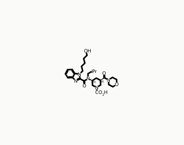 CC(C)CN(C(=O)c1nc2ccccc2n1CCCCCO)[C@H]1C[C@@H](C(=O)N2CCOCC2)CN(C(=O)O)C1